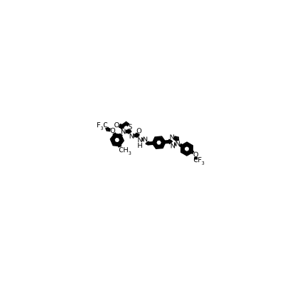 Cc1ccc(OCC(F)(F)F)c(N2C(=O)CS/C2=N\C(=O)N/N=C/c2ccc(-c3ncn(-c4ccc(OC(F)(F)F)cc4)n3)cc2)c1